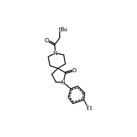 CCc1ccc(N2CCC3(CCN(C(=O)CC(C)(C)C)CC3)C2=O)cc1